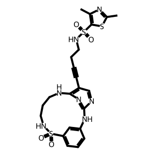 Cc1nc(C)c(S(=O)(=O)NCCC#Cc2cnc3nc2NCCCNS(=O)(=O)c2cccc(c2)N3)s1